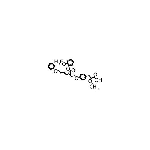 CCOC(Cc1ccc(OCCN(CCCCOc2ccccc2)C(=O)Oc2ccccc2OC)cc1)C(=O)O